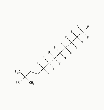 CC(C)(C)CCC(F)(F)C(F)(F)C(F)(F)C(F)(F)C(F)(F)C(F)(F)C(F)(F)C(F)(F)F